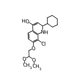 COC(COc1ccc2c(c1Cl)NC(C1CCCCC1)C=C2O)OC